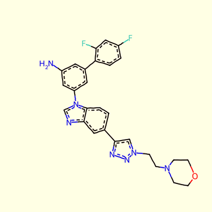 Nc1cc(-c2ccc(F)cc2F)cc(-n2cnc3cc(-c4cn(CCN5CCOCC5)nn4)ccc32)c1